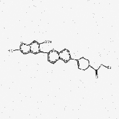 COc1cc2nn(C)cc2cc1-c1ccc2cc(C3=CCN(C(=O)OC(C)(C)C)CC3)ccc2n1